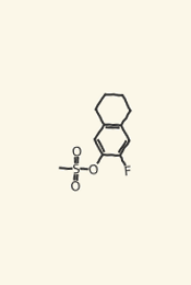 CS(=O)(=O)Oc1cc2c(cc1F)CCCC2